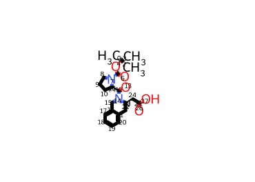 CC(C)(C)OC(=O)N1CCC[C@@H]1C(=O)N1Cc2ccccc2C[C@@H]1CC(=O)O